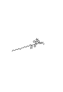 CCCCCCCCCCCCCCNCC(=O)N(CC(N)=O)C(=O)OC(C)(C)C